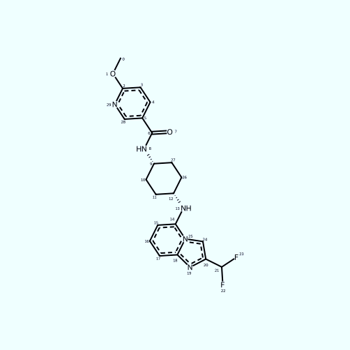 COc1ccc(C(=O)N[C@H]2CC[C@@H](Nc3cccc4nc(C(F)F)cn34)CC2)cn1